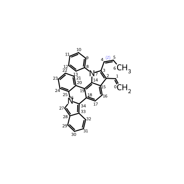 C=Cc1c(/C=C\C)n(-c2ccccc2)c2c1ccc1c2c2ccccc2n2cc3ccccc3c12